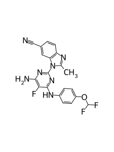 Cc1nc2ccc(C#N)cc2n1-c1nc(N)c(F)c(Nc2ccc(OC(F)F)cc2)n1